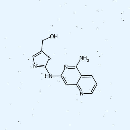 Nc1nc(Nc2ncc(CO)s2)cc2ncccc12